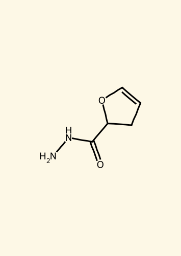 NNC(=O)C1CC=CO1